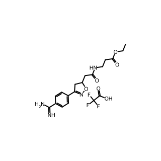 CCOC(=O)CCNC(=O)CC1CC(c2ccc(C(=N)N)cc2)=NO1.O=C(O)C(F)(F)F